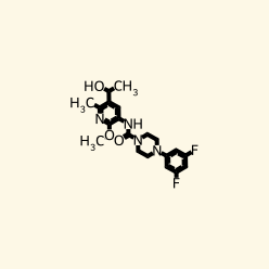 COc1nc(C)c(C(C)O)cc1NC(=O)N1CCN(c2cc(F)cc(F)c2)CC1